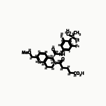 CCS(C)(C)c1c(F)cc(NC(=O)[C@H]2c3ccc(COC)nc3CCN2C(=O)CCCC(=O)O)cc1F